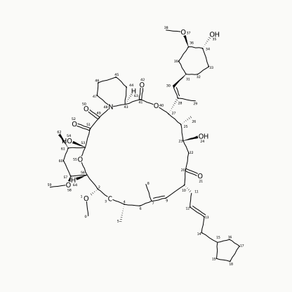 CO[C@H]1C[C@@H](C)C/C(C)=C/[C@@H](C/C=C/CC2CCCC2)C(=O)C[C@H](O)[C@@H](C)[C@@H](/C(C)=C/[C@@H]2CC[C@@H](O)[C@H](OC)C2)OC(=O)[C@@H]2CCCCN2C(=O)C(=O)[C@]2(O)O[C@H]1[C@@H](OC)C[C@H]2C